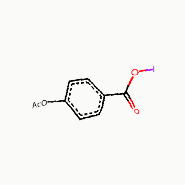 CC(=O)Oc1ccc(C(=O)OI)cc1